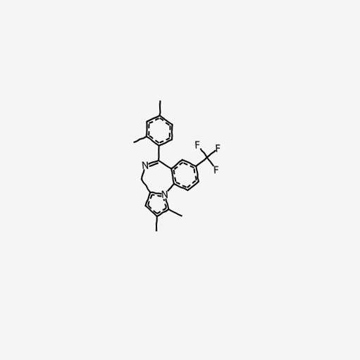 Cc1ccc(C2=NCc3cc(C)c(C)n3-c3ccc(C(F)(F)F)cc32)c(C)c1